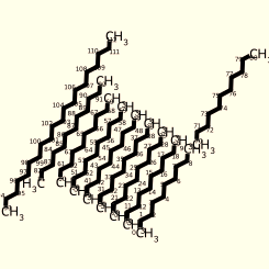 CCCCCCCCCC.CCCCCCCCCC.CCCCCCCCCC.CCCCCCCCCC.CCCCCCCCCC.CCCCCCCCCC.CCCCCCCCCC.CCCCCCCCCCC.CCCCCCCCCCCC.CCCCCCCCCCCCCCCCCCCC